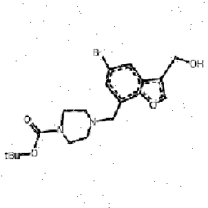 CC(C)(C)OC(=O)N1CCN(Cc2cc(Br)cc3c(CO)coc23)CC1